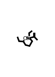 C=C(C)[Si]1(CC)CCCC(CC)O1